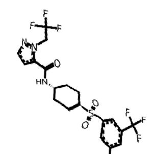 O=C(N[C@H]1CC[C@H](S(=O)(=O)c2cc(F)cc(C(F)(F)F)c2)CC1)c1ccnn1CC(F)(F)F